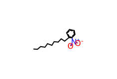 CCCCCCCCCCc1ccccc1[N+](=O)[O-]